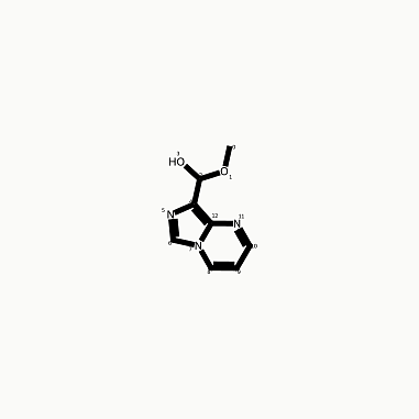 COC(O)c1ncn2cccnc12